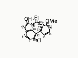 CCC(CC)n1c(O)nc2ncc(Cl)c(-c3ccnc(OC)c3)c21